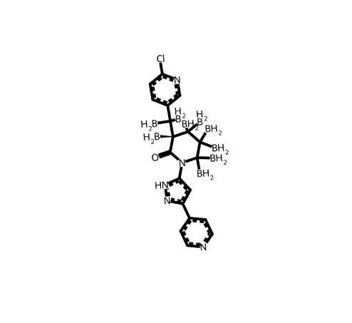 BC1(B)N(c2cc(-c3ccncc3)n[nH]2)C(=O)[C@](B)(C(B)(B)c2ccc(Cl)nc2)C(B)(B)C1(B)B